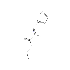 CCOC(=O)/C(F)=C/c1ccns1